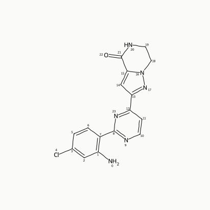 Nc1cc(Cl)ccc1-c1nccc(-c2cc3n(n2)CCNC3=O)n1